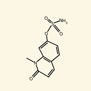 Cn1c(=O)ccc2ccc(OS(N)(=O)=O)cc21